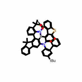 CC(C)(C)c1ccc(N2c3cc4c(c5c3B(c3c2ccc2sc6ccccc6c32)N2c3ccccc3C(C)(C)c3cccc-5c32)C(C)(C)c2ccccc2-4)c(-c2ccccc2)c1